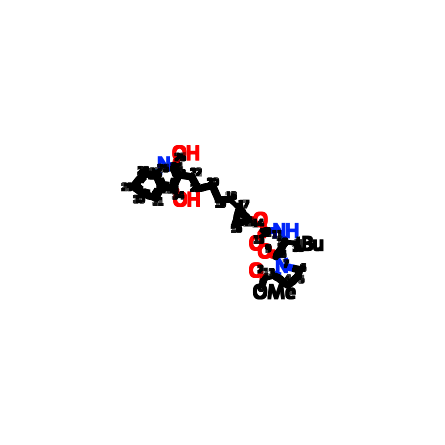 COC(=O)[C@@H]1CCCN1C(=O)[C@@H](NC(=O)OC1C[C@H]1CCCCCc1c(O)nc2ccccc2c1O)C(C)(C)C